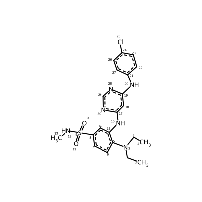 CCN(CC)c1ccc(S(=O)(=O)NC)cc1Nc1cc(Nc2ccc(Cl)cc2)ncn1